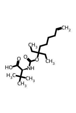 C=CCCCCC(CC)(CC)OC(=O)N[C@H](C(=O)O)C(C)(C)C